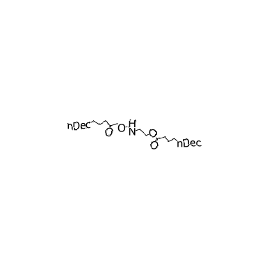 CCCCCCCCCCCCCC(=O)COCNCCOC(=O)CCCCCCCCCCCCC